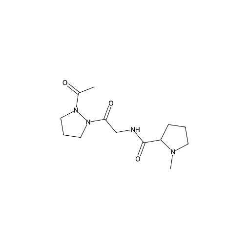 CC(=O)N1CCCN1C(=O)CNC(=O)C1CCCN1C